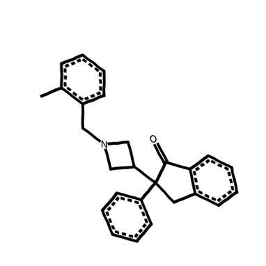 Cc1ccccc1CN1CC(C2(c3ccccc3)Cc3ccccc3C2=O)C1